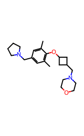 Cc1cc(CN2CCCC2)cc(C)c1OC1CC(CN2CCOCC2)C1